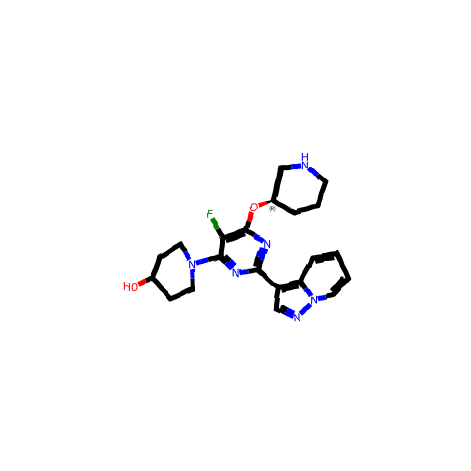 OC1CCN(c2nc(-c3cnn4ccccc34)nc(O[C@@H]3CCCNC3)c2F)CC1